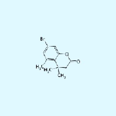 Cc1cc(Br)cc2c1C(C)(C)CC(=O)O2